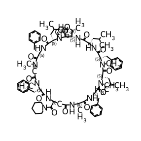 CC(C)C[C@@H]1NC(=O)[C@H](Cc2ccccc2)N(C)C(=O)[C@H](CC(C)C)N(C)C(=O)[C@H](Cc2ccccc2)NC(=O)[C@H](C)NC(=O)C[C@@H](C(=O)N2CCCCC2)NC(=O)[C@H](Cc2ccccc2)N(C)C(=O)CN(C)C(=O)[C@H](Cc2ccccc2)NC(=O)[C@H](CC(C)C)N(C)C(=O)[C@H]([C@@H](C)O)NC1=O